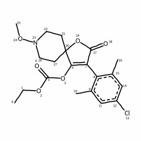 CCOC(=O)OC1=C(c2c(C)cc(Cl)cc2C)C(=O)OC12CCN(OC)CC2